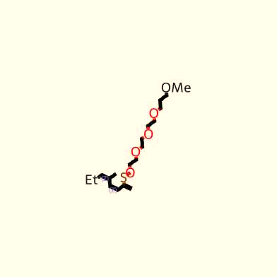 C=C(/C=C\C(C)=C/CC)SOCCOCCOCCOCCCOC